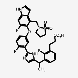 CC(c1cnc(-c2cc(Oc3c(F)cc4[nH]ccc4c3CN3CCCS3(=O)=O)ccc2F)[nH]1)c1cccc(CCC(=O)O)c1F